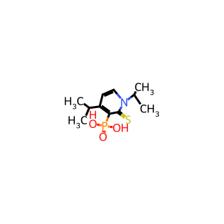 CC(C)c1ccn(C(C)C)c(=S)c1P(=O)(O)O